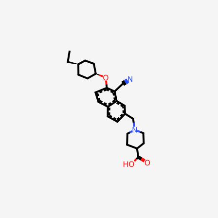 CC[C@H]1CC[C@@H](Oc2ccc3ccc(CN4CCC(C(=O)O)CC4)cc3c2C#N)CC1